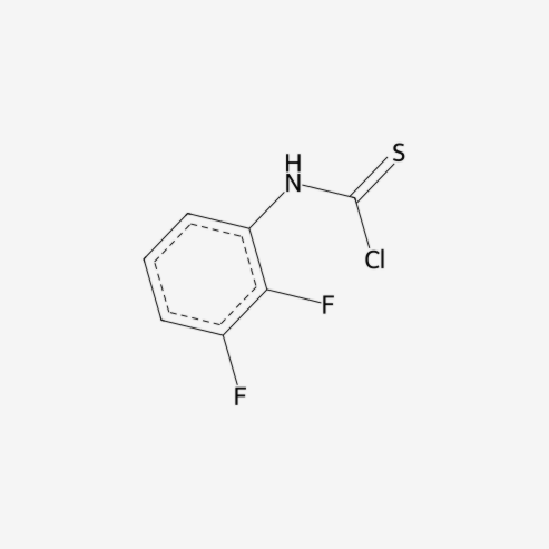 Fc1cccc(NC(=S)Cl)c1F